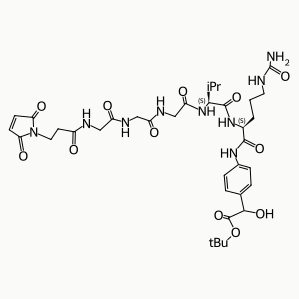 CC(C)[C@H](NC(=O)CNC(=O)CNC(=O)CNC(=O)CCN1C(=O)C=CC1=O)C(=O)N[C@@H](CCCNC(N)=O)C(=O)Nc1ccc(C(O)C(=O)OC(C)(C)C)cc1